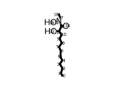 CCCCCCCCCCCC(O)C(=O)N(O)CC